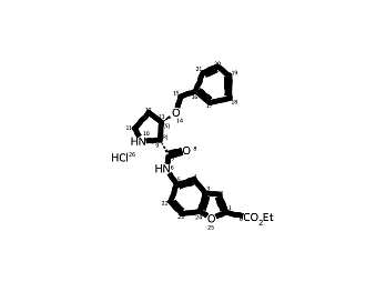 CCOC(=O)c1cc2cc(NC(=O)[C@@H]3NCC[C@@H]3OCc3ccccc3)ccc2o1.Cl